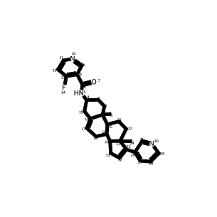 CC12CCC(NC(=O)c3cnccc3F)CC1=CCC1C2CCC2(C)C(c3cccnc3)=CCC12